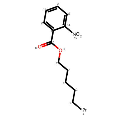 CC(C)CCCCCOC(=O)c1ccccc1[N+](=O)[O-]